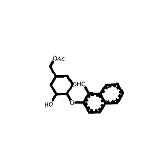 CC(=O)OCC1CCC(Oc2ccc3ccccc3c2C=O)C(O)C1